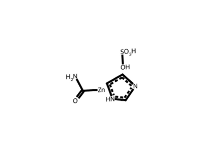 N[C](=O)[Zn].O=S(=O)(O)O.c1c[nH]cn1